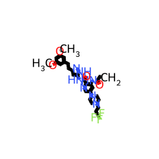 C=CC(=O)Nc1cc(N2CCN(CCC(F)(F)F)CC2)cnc1C(=O)Nc1cc(CCc2cc(OC)cc(OC)c2)n[nH]1